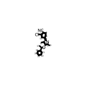 Cc1nn(-c2ccc(C#N)c(Cl)c2)c(C)c1OC(C)c1ccccc1